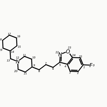 Fc1ccc2c(CCCC3CCN(CC4CCCCC4)CC3)noc2c1